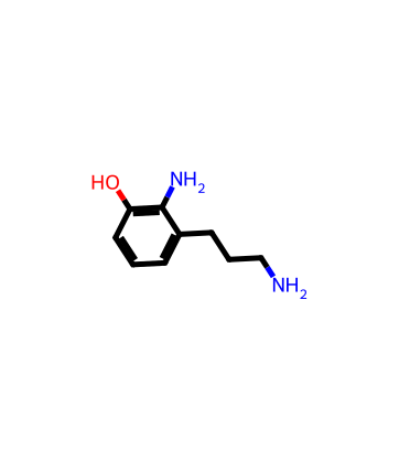 NCCCc1cccc(O)c1N